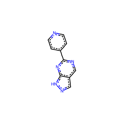 c1cc(-c2ncc3cn[nH]c3n2)ccn1